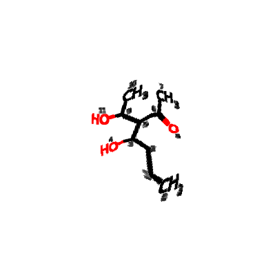 CCCC(O)C(C(C)=O)C(C)O